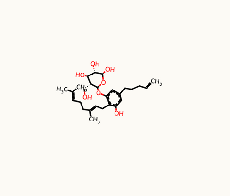 C=CCCCc1cc(O)c(C/C=C(\C)CCC=C(C)C)c(OC2O[C@H](O)[C@@H](O)[C@H](O)[C@H]2CO)c1